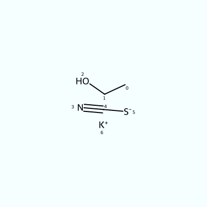 CCO.N#C[S-].[K+]